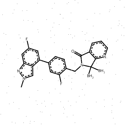 BC1(B)c2ncccc2C(=O)N1Cc1ccc(-c2cc(F)cc3nn(C)cc23)cc1F